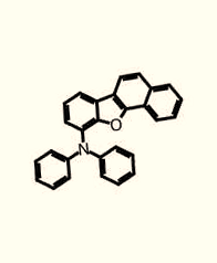 c1ccc(N(c2ccccc2)c2cccc3c2oc2c4ccccc4ccc32)cc1